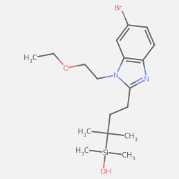 CCOCCn1c(CCC(C)(C)[Si](C)(C)O)nc2ccc(Br)cc21